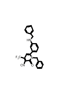 [C-]#[N+]c1c(C(F)(F)F)cc(-c2cccc(NCc3ccccc3)c2)n(Cc2ccccc2)c1=O